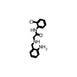 Nc1ccccc1CNCC(=O)Nc1ccccc1Cl